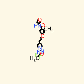 CC1=CC(OCCCC2CCN(c3noc(C(C)(F)F)n3)CC2)CC=C1C(=O)N[C@H]1CCOC1